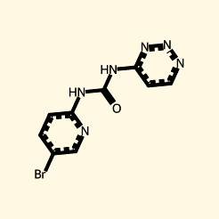 O=C(Nc1ccc(Br)cn1)Nc1ccnnn1